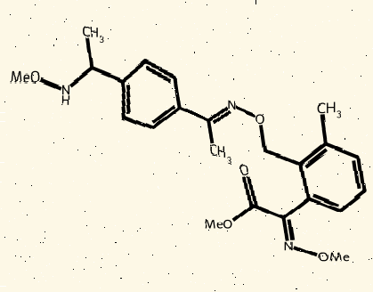 CO/N=C(/C(=O)OC)c1cccc(C)c1CO/N=C(\C)c1ccc(C(C)NOC)cc1